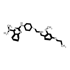 CCCOc1ccc(CNCC[C@H]2CC[C@@H](Nc3nc(N(C)C)c4ccccc4n3)CC2)c(OC)c1